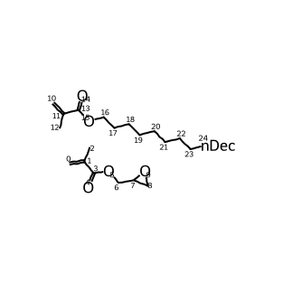 C=C(C)C(=O)OCC1CO1.C=C(C)C(=O)OCCCCCCCCCCCCCCCCCC